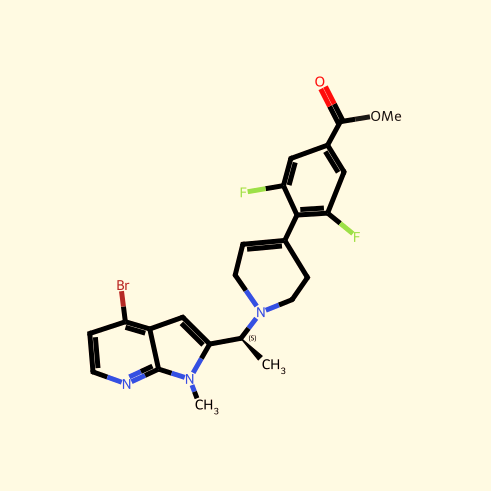 COC(=O)c1cc(F)c(C2=CCN([C@@H](C)c3cc4c(Br)ccnc4n3C)CC2)c(F)c1